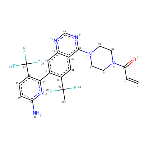 C=CC(=O)N1CCN(c2ncnc3cc(-c4nc(N)ccc4C(F)(F)F)c(C(C)(F)F)cc23)CC1